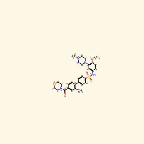 COc1ccc(NS(=O)(=O)c2ccc(-c3ccc(C(=O)N4CCOCC4)cc3C)cc2)cc1N1CCN(C)CC1